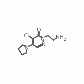 NCCn1ncc(N2C[CH]CC2)c(Cl)c1=O